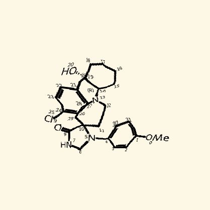 COc1ccc(N2CNC(=O)C23CCN([C@@H]2CCCC[C@]2(O)c2ccc(Cl)cc2)CC3)cc1